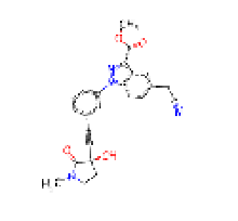 COC(=O)c1nn(-c2cccc(C#C[C@]3(O)CCN(C)C3=O)c2)c2ccc(CC#N)cc12